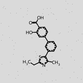 CCc1nc(C)c(-c2cccc(-c3ccc(C(=O)O)c(O)c3)c2)s1